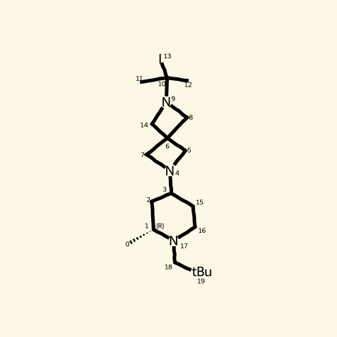 C[C@@H]1CC(N2CC3(C2)CN(C(C)(C)I)C3)CCN1CC(C)(C)C